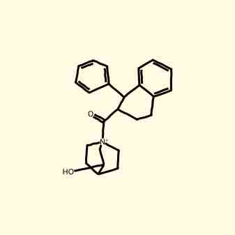 O=C(C1CCc2ccccc2C1c1ccccc1)[N+]12CCC(CC1)C(O)C2